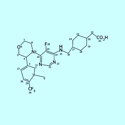 CC1CC(C2COCCN2c2ncnc(NCC3CCC(CC(=O)O)CC3)c2F)=CC=C1C(F)(F)F